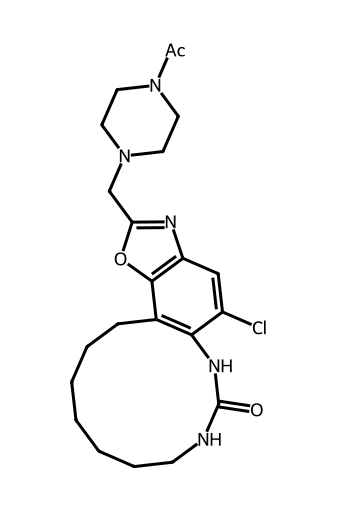 CC(=O)N1CCN(Cc2nc3cc(Cl)c4c(c3o2)CCCCCCCNC(=O)N4)CC1